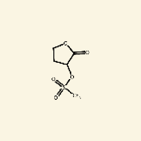 O=C1OCCC1OS(=O)(=O)C(F)(F)F